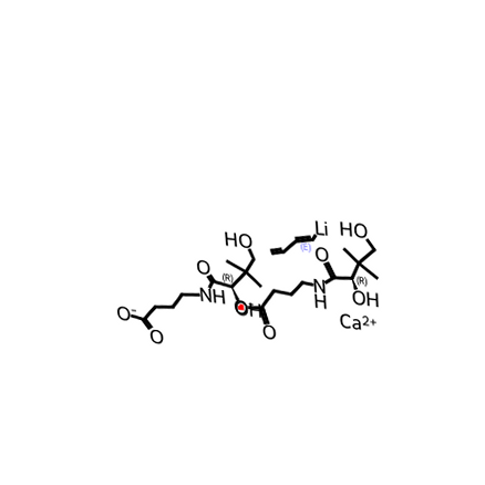 CC(C)(CO)[C@@H](O)C(=O)NCCCC(=O)[O-].CC(C)(CO)[C@@H](O)C(=O)NCCCC(=O)[O-].[Ca+2].[Li]/[CH]=C/C=C